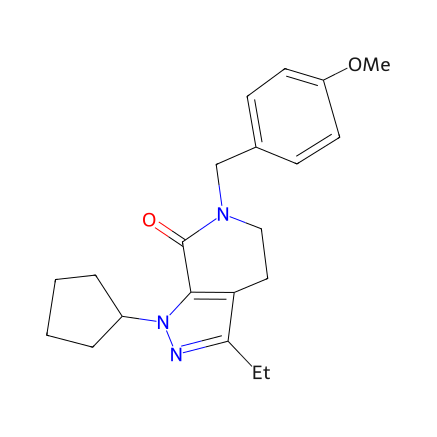 CCc1nn(C2CCCC2)c2c1CCN(Cc1ccc(OC)cc1)C2=O